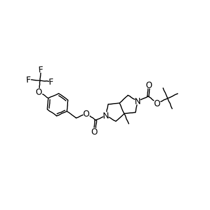 CC(C)(C)OC(=O)N1CC2CN(C(=O)OCc3ccc(OC(F)(F)F)cc3)CC2(C)C1